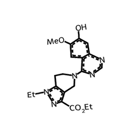 CCOC(=O)c1nn(CC)c2c1CN(c1ncnc3cc(O)c(OC)cc13)CC2